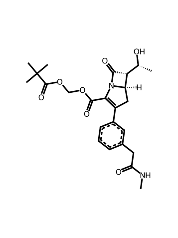 CNC(=O)Cc1cccc(C2=C(C(=O)OCOC(=O)C(C)(C)C)N3C(=O)[C@H]([C@@H](C)O)[C@H]3C2)c1